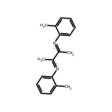 CC(=N\c1ccccc1C)/C(C)=N/c1ccccc1C